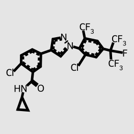 O=C(NC1CC1)c1cc(-c2cnn(-c3c(Cl)cc(C(F)(C(F)(F)F)C(F)(F)F)cc3C(F)(F)F)c2)ccc1Cl